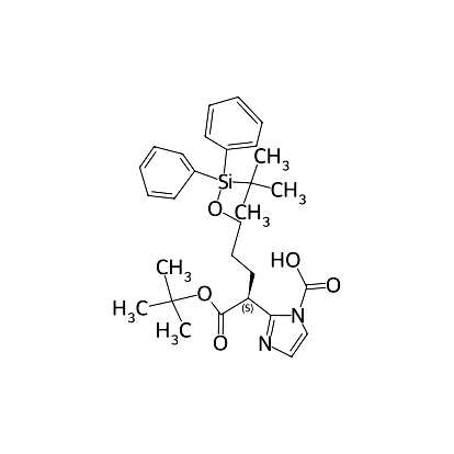 CC(C)(C)OC(=O)[C@@H](CCCO[Si](c1ccccc1)(c1ccccc1)C(C)(C)C)c1nccn1C(=O)O